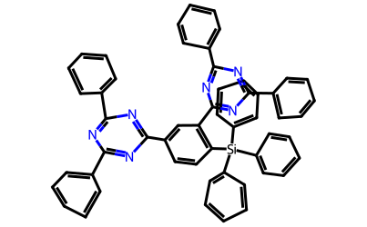 c1ccc(-c2nc(-c3ccccc3)nc(-c3ccc([Si](c4ccccc4)(c4ccccc4)c4ccccc4)c(-c4nc(-c5ccccc5)nc(-c5ccccc5)n4)c3)n2)cc1